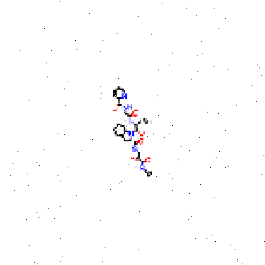 CC(C)(C)[C@H](NC(=O)CNC(=O)c1ccccn1)C(=O)N1C2CCCCC2C[C@H]1C(=O)NCC(=O)C(=O)NC1CC1